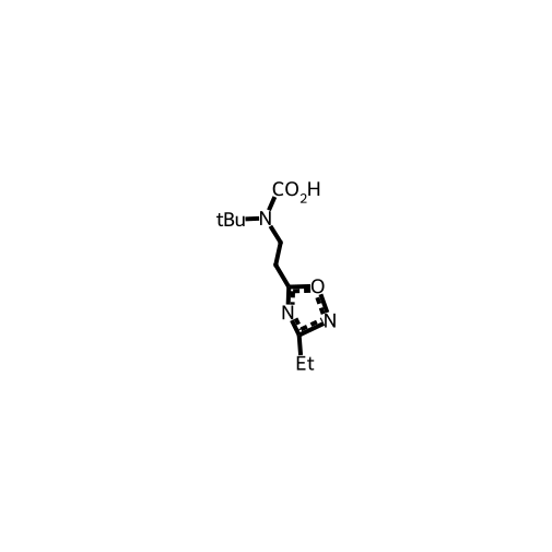 CCc1noc(CCN(C(=O)O)C(C)(C)C)n1